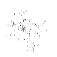 COCCN(CC(=O)NCC(CNC(=O)CN(CCOC)C(=O)CN1CCN(CC(=O)O)CCN(CC(=O)O)CCN(CC(=O)O)CC1)(CNC(=O)CN(CCOC)C(=O)CN1CCN(CC(=O)O)CCN(CC(O)O)CCN(CC(=O)O)CC1)NC(=O)CN(CCOC)C(=O)CN1CCN(CC(=O)O)CCN(CC(=O)O)CCN(CC(=O)O)CC1)C(=O)CN1CCN(CC(=O)O)CCN(CC(=O)O)CCN(CC(=O)O)CC1